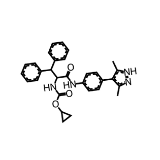 Cc1n[nH]c(C)c1-c1ccc(NC(=O)C(NC(=O)OC2CC2)C(c2ccccc2)c2ccccc2)cc1